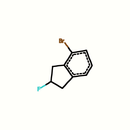 FC1Cc2cccc(Br)c2C1